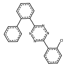 Clc1ccccc1-c1nnc(-c2ccccc2-c2ccccc2)nn1